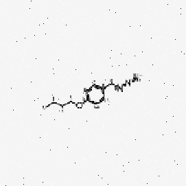 CCCCOc1ccc(CN=[N+]=[N-])cc1